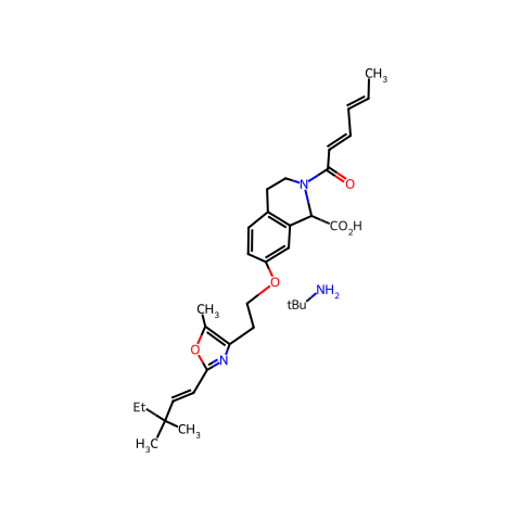 CC(C)(C)N.CC=CC=CC(=O)N1CCc2ccc(OCCc3nc(/C=C/C(C)(C)CC)oc3C)cc2C1C(=O)O